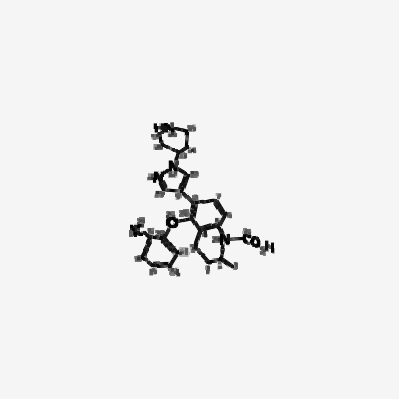 CC1CCc2c(ccc(-c3cnn(C4CCNCC4)c3)c2Oc2ccccc2C#N)N1C(=O)O